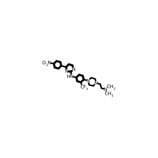 CN(C)CCN1CCN(c2ccc(Nc3nccc(-c4ccc([N+](=O)[O-])cc4)n3)cc2C(F)(F)F)CC1